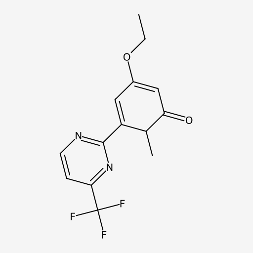 CCOC1=CC(=O)C(C)C(c2nccc(C(F)(F)F)n2)=C1